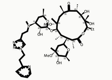 CC[C@H]1OC(=O)[C@H](C)[C@@H](C2C[C@@](C)(OC)[C@@H](O)[C@H](C)O2)[C@H](C)[C@@H](O[C@@H]2O[C@H](C)C[C@H](N(C)CCc3cn(CCc4ccccn4)nn3)[C@H]2O)[C@](C)(OC)C[C@@H](C)C(=O)[C@H](C)[C@@H](O)[C@]1(C)O